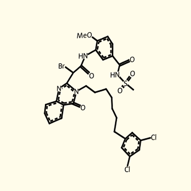 COc1ccc(C(=O)NS(C)(=O)=O)cc1NC(=O)C(Br)c1nc2ccccc2c(=O)n1CCCCCCCc1cc(Cl)cc(Cl)c1